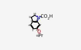 CC(C)Oc1ccc2c(c1)N(C(=O)O)CC2